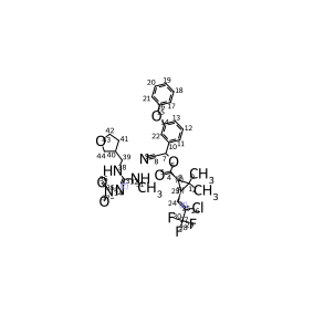 CC1(C)[C@H](C(=O)OC(C#N)c2cccc(Oc3ccccc3)c2)[C@@H]1/C=C(\Cl)C(F)(F)F.CN/C(=N/[N+](=O)[O-])NCC1CCOC1